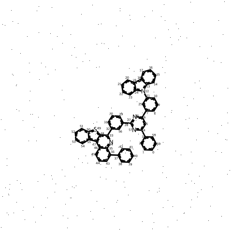 c1ccc(-c2cc(-c3cccc(-n4c5ccccc5c5ccccc54)c3)nc(-c3cccc(-c4nc5c(-c6ccccc6)cccc5c5c4sc4ccccc45)c3)n2)cc1